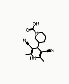 CC1=C(C#N)C(C2CCCN(C(=O)O)C2)C(C#N)=C(C)N1